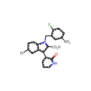 CCc1ccc2c(c1)c(-c1ccc[nH]c1=O)c(C(=O)O)n2Cc1cc([N+](=O)[O-])ccc1F